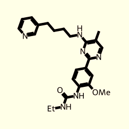 CCNC(=O)Nc1ccc(-c2ncc(C)c(NCCCCc3cccnc3)n2)cc1OC